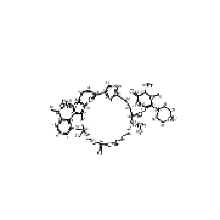 CCn1c(-c2cccnc2[C@H](C)OC)c2c3cc(ccc31)-c1csc(n1)C[C@H](NC(=O)C(C(C)C)N(C)C(=O)N1CCNCC1)C(=O)N(NF)CCCCC(=O)OCC(C)(C)C2